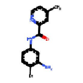 CCc1ccc(NC(=O)c2cc(C(F)(F)F)ccn2)cc1N